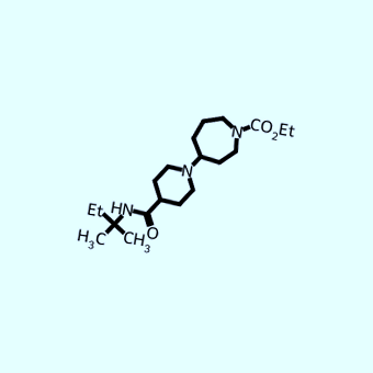 CCOC(=O)N1CCCC(N2CCC(C(=O)NC(C)(C)CC)CC2)CC1